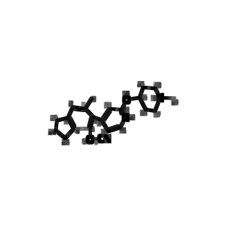 Cc1cc2c(c(OC#N)c1-c1ccnc(OC3CCN(C)CC3)c1)CCC2